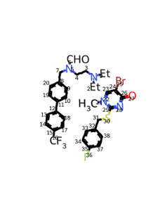 CCN(CC)CCN(C=O)Cc1ccc(-c2ccc(C(F)(F)F)cc2)cc1.Cn1cc(Br)c(=O)nc1SCc1ccc(F)cc1